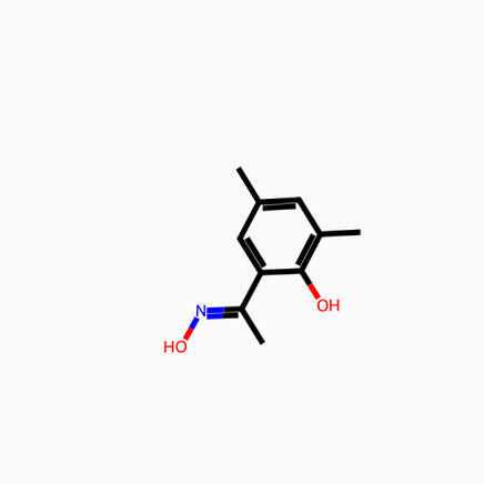 C/C(=N\O)c1cc(C)cc(C)c1O